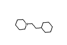 C1CCC(CCN2CCCCC2)CC1